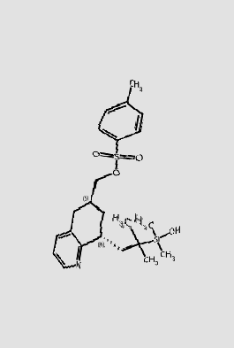 Cc1ccc(S(=O)(=O)OC[C@@H]2Cc3cccnc3[C@@H](CC(C)(C)[Si](C)(C)O)C2)cc1